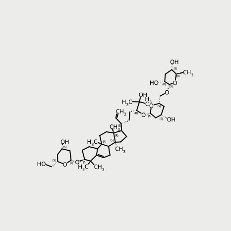 C=C[C@H](CC[C@@H](O[C@H]1C[C@@H](O)C[C@@H](CO[C@H]2O[C@H](C)[C@@H](O)C[C@H]2O)O1)C(C)(C)O)C1CC[C@@]2(C)C3CC=C4C(CC[C@H](O[C@H]5C[C@@H](O)C[C@@H](CO)O5)C4(C)C)[C@]3(C)CC[C@]12C